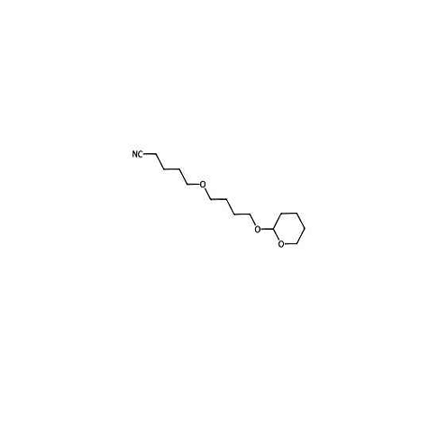 N#CCCCCOCCCCOC1CCCCO1